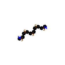 c1cnc2c(c1)sc1ccc(-c3ccc4sc5ccc(-c6ccc7sc8ccc(-c9ccc%10sc%11ccc(-c%12ccc%13sc%14ncccc%14c%13c%12)cc%11c%10c9)cc8c7c6)cc5c4c3)cc12